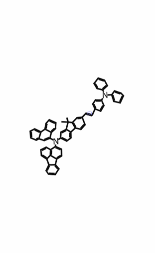 CC1(C)c2cc(/C=C/c3ccc(N(c4ccccc4)c4ccccc4)cc3)ccc2-c2ccc(N(c3ccc4c5c(cccc35)-c3ccccc3-4)c3cc4ccccc4c4ccccc34)cc21